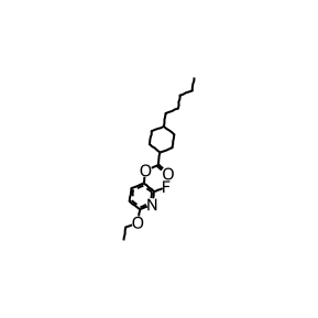 CCCCCC1CCC(C(=O)Oc2ccc(OCC)nc2F)CC1